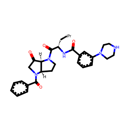 CC(C)C[C@H](NC(=O)c1cccc(N2CCNCC2)c1)C(=O)N1CC[C@@H]2[C@H]1C(=O)CN2C(=O)c1ccccc1